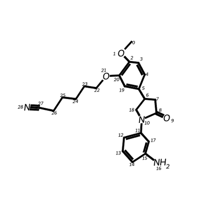 COc1ccc(C2CC(=O)N(c3cccc(N)c3)C2)cc1OCCCCCC#N